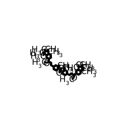 COC(C=Cc1ccc(S(=O)(=O)c2ccc(C=CC(OC)c3ccc4c(c3)C(C)(C)C(C)C4(C)C)cc2C)c(C)c1)c1ccc2c(c1)C(C)(C)C(C)C2(C)C